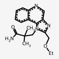 CCOCc1nc2cnc3ccccc3c2n1CC(C)(C)C(N)=O